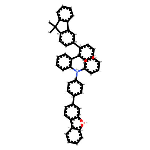 CC1(C)c2ccccc2-c2cc(-c3ccccc3-c3ccccc3N(c3ccccc3)c3ccc(-c4ccc5c(c4)oc4ccccc45)cc3)ccc21